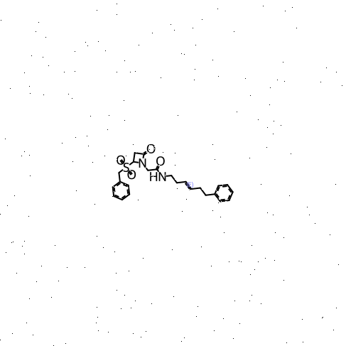 O=C(CN1C(=O)CC1S(=O)(=O)Cc1ccccc1)NCC/C=C/CCc1ccccc1